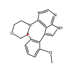 COc1cccc(F)c1-c1c[nH]c2ncnc(N3CCOCC3)c12